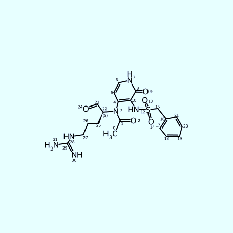 CC(=O)N(c1cc[nH]c(=O)c1NS(=O)(=O)Cc1ccccc1)[C@H](C=O)CCCNC(=N)N